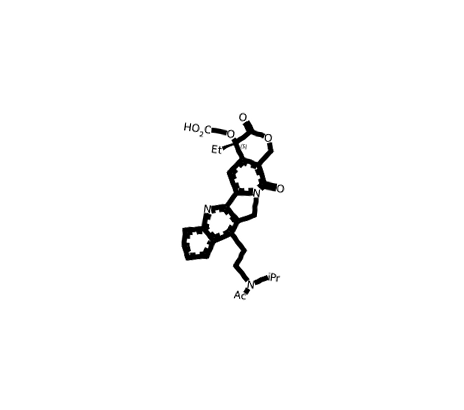 CC[C@@]1(OC(=O)O)C(=O)OCc2c1cc1n(c2=O)Cc2c-1nc1ccccc1c2CCN(C(C)=O)C(C)C